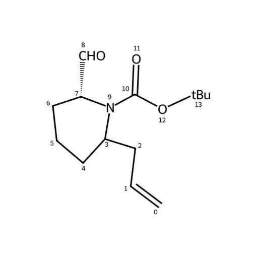 C=CCC1CCC[C@H](C=O)N1C(=O)OC(C)(C)C